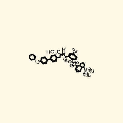 CCCCN(CCCC)c1cccc2c(S(=O)(=O)Nc3ccc(Br)cc3C(=O)N[C@@H](Cc3ccc(-c4ccc(Oc5ccccc5)cc4)cc3)C(=O)O)cccc12